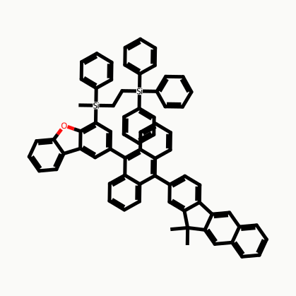 CC1(C)c2cc(-c3c4ccccc4c(-c4cc([Si](C)(CC[Si](c5ccccc5)(c5ccccc5)c5ccccc5)c5ccccc5)c5oc6ccccc6c5c4)c4ccccc34)ccc2-c2cc3ccccc3cc21